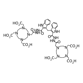 O=C(O)CN1CCN(CC(=O)O)CCN(CC(=O)NNC(=O)c2[nH]c3ccccc3c2Cc2c(C(=O)NNC(=O)CN3CCN(CC(=O)O)CCN(CC(=O)O)CCN(CC(=O)O)CC3)[nH]c3ccccc23)CCN(CC(=O)O)CC1